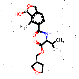 Cc1c(C(=O)N[C@H](C(=O)OC[C@H]2CCOC2)C(C)C)ccc2c1B(O)OC2